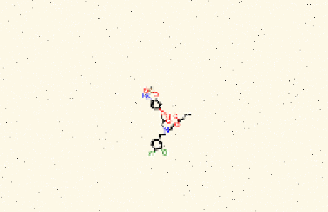 CCCC(=O)OCCN(CCc1ccc(Cl)c(Cl)c1)CC(O)COc1ccc(NS(C)(=O)=O)cc1